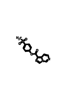 CS(=O)(=O)c1ccc(OC(=O)c2ncn3cnccc23)cc1